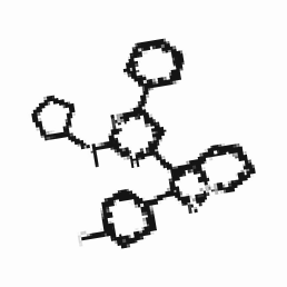 Fc1ccc(-c2nn3ccccc3c2-c2cc(-c3ccccc3)nc(NC3CCCC3)n2)cc1